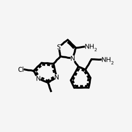 Cc1nc(Cl)cc(C2SC=C(N)N2c2ccccc2CN)n1